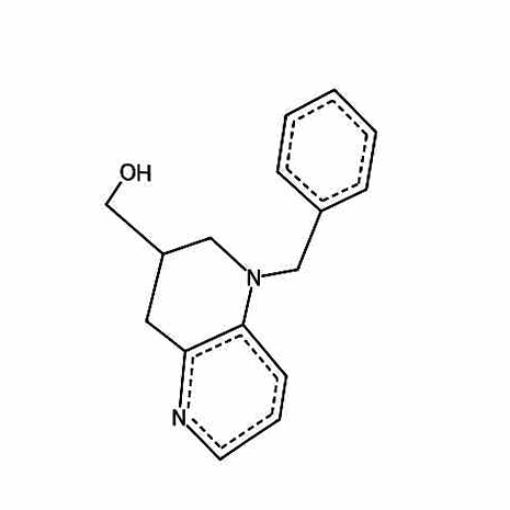 OCC1Cc2ncccc2N(Cc2ccccc2)C1